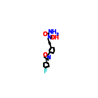 NC(=O)N(O)CC#Cc1cccc(C2=N[C@H](c3ccc(F)cc3)CO2)c1